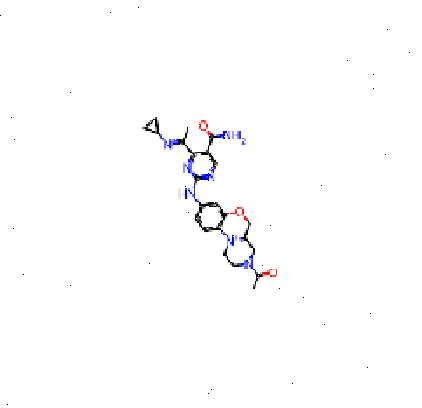 CC(=O)N1CC[N+]2=C(COc3cc(Nc4ncc(C(N)=O)c(/C(C)=N/C5CC5)n4)ccc32)C1